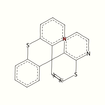 c1ccc2c(c1)Sc1ccccc1C21c2ccccc2Sc2nccnc21